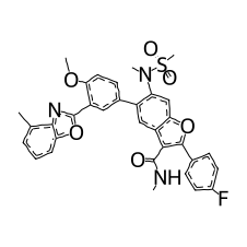 CNC(=O)c1c(-c2ccc(F)cc2)oc2cc(N(C)S(C)(=O)=O)c(-c3ccc(OC)c(-c4nc5c(C)cccc5o4)c3)cc12